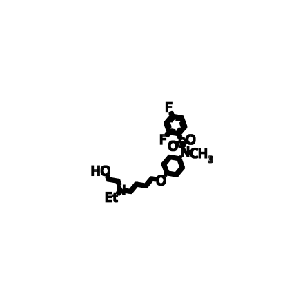 CCN(CCO)CCCCO[C@H]1CC[C@H](N(C)S(=O)(=O)c2ccc(F)cc2F)CC1